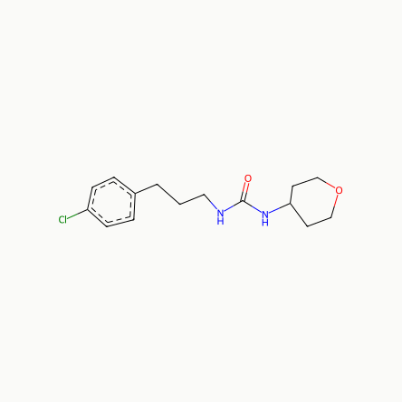 O=C(NCCCc1ccc(Cl)cc1)NC1CCOCC1